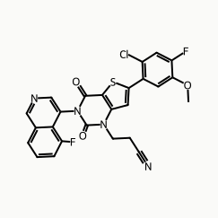 COc1cc(-c2cc3c(s2)c(=O)n(-c2cncc4cccc(F)c24)c(=O)n3CCC#N)c(Cl)cc1F